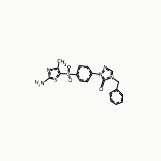 Cc1nc(N)sc1S(=O)(=O)c1ccc(-n2ncn(Cc3ccccc3)c2=O)cc1